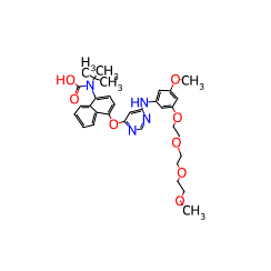 COCCOCCOCCOc1cc(Nc2cc(Oc3ccc(N(C(=O)O)C(C)(C)C)c4ccccc34)ncn2)cc(OC)c1